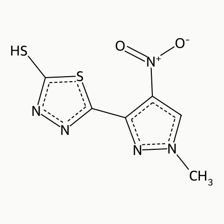 Cn1cc([N+](=O)[O-])c(-c2nnc(S)s2)n1